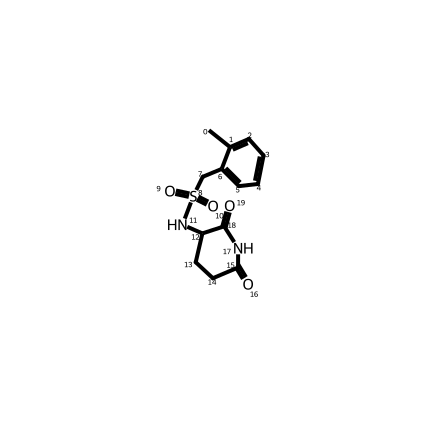 Cc1ccccc1CS(=O)(=O)NC1CCC(=O)NC1=O